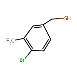 FC(F)(F)c1cc(CS)ccc1Br